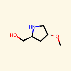 CO[C@H]1CN[C@H](CO)C1